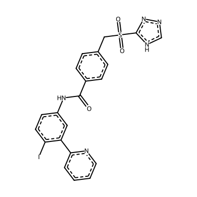 O=C(Nc1ccc(I)c(-c2ccccn2)c1)c1ccc(CS(=O)(=O)c2nnc[nH]2)cc1